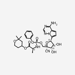 C[C@H](NP(=O)(OC[C@@]1(C#N)O[C@@H](c2ccc3c(N)ncnn23)[C@H](O)[C@@H]1O)Oc1ccccc1)C(=O)OC1CCOC(C)(C)C1